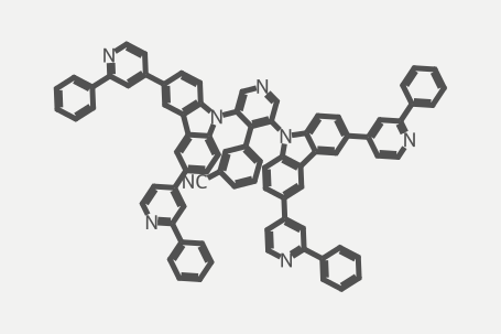 N#Cc1cccc(-c2c(-n3c4ccc(-c5ccnc(-c6ccccc6)c5)cc4c4cc(-c5ccnc(-c6ccccc6)c5)ccc43)cncc2-n2c3ccc(-c4ccnc(-c5ccccc5)c4)cc3c3cc(-c4ccnc(-c5ccccc5)c4)ccc32)c1